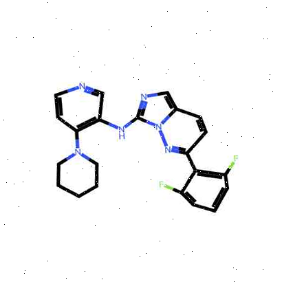 Fc1cccc(F)c1-c1ccc2cnc(Nc3cnccc3N3CCCCC3)n2n1